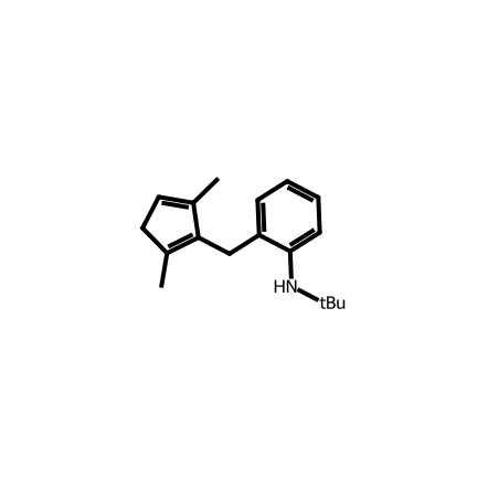 CC1=CCC(C)=C1Cc1ccccc1NC(C)(C)C